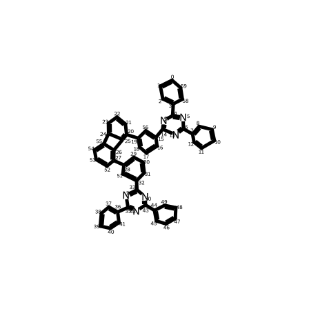 c1ccc(-c2nc(-c3ccccc3)nc(-c3cccc(-c4cccc5c4-c4c(-c6cccc(-c7nc(-c8ccccc8)nc(-c8ccccc8)n7)c6)cccc4-5)c3)n2)cc1